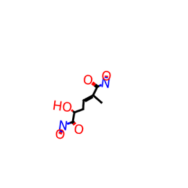 C/C(=C\CC(O)C(=O)N=O)C(=O)N=O